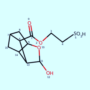 O=C(OCCS(=O)(=O)O)C1C2CC3OC(O)C1C3C2